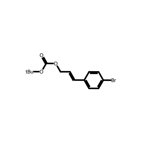 CC(C)(C)OC(=O)OCC=Cc1ccc(Br)cc1